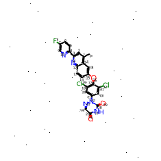 Cc1cc(-c2ccc(F)cn2)nc2ccc(Oc3c(Cl)cc(-n4ncc(=O)[nH]c4=O)cc3Cl)cc12